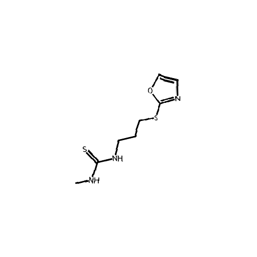 CNC(=S)NCCCSc1ncco1